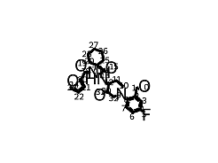 O=Cc1cc(F)ccc1N1CCC(NC(=O)C2(NC(=O)c3ccco3)CCCCC2)C(=O)C1